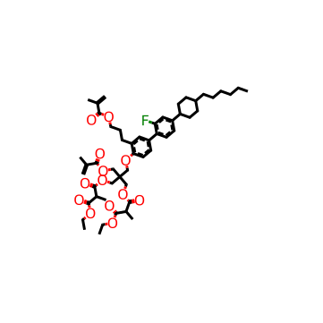 C=C(C)C(=O)OCCCc1cc(-c2ccc(C3CCC(CCCCCC)CC3)cc2F)ccc1OCC(COC(=O)C(=C)C)(COC(=O)C(C)C(=O)OCC)COC(=O)C(C)C(=O)OCC